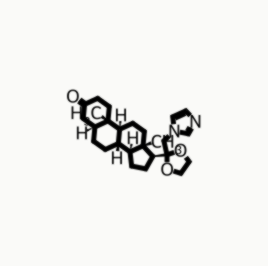 C[C@]12CCC(=O)C[C@@H]1CC[C@@H]1[C@@H]2CC[C@]2(C)[C@@H](C3(Cn4ccnc4)OCCO3)CC[C@@H]12